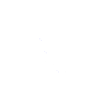 CN1C(=O)N2Cc3[nH]c4ccccc4c3CC2C1C1=CCOO1